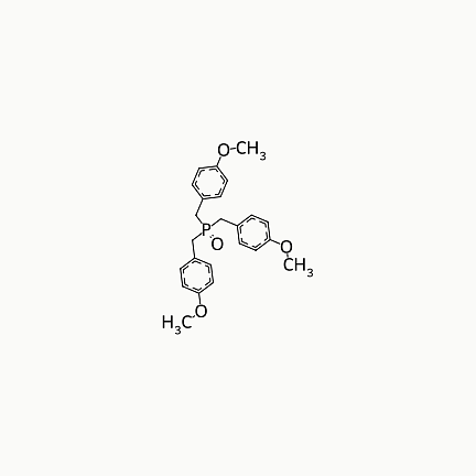 COc1ccc(CP(=O)(Cc2ccc(OC)cc2)Cc2ccc(OC)cc2)cc1